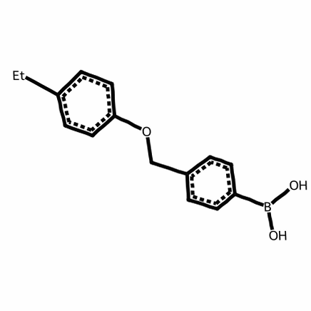 CCc1ccc(OCc2ccc(B(O)O)cc2)cc1